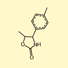 Cc1ccc(C2NC(=O)OC2C)cc1